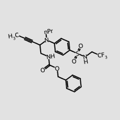 CC#CC(CNC(=O)OCc1ccccc1)N(CCC)c1ccc(S(=O)(=O)NCC(F)(F)F)cc1